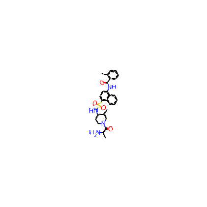 Cc1ccccc1C(=O)Nc1ccc(S(=O)(=O)NC2CCN(C(=O)C(C)N)CC2C)c2ccccc12